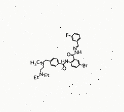 CCN(CC)CCN(C)Cc1ccc(C(=O)Nc2ccc(Br)cc2C(=O)NN=Cc2cccc(F)c2)cc1